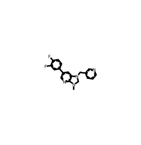 CN1CN(Cc2cccnc2)c2cc(-c3ccc(F)c(F)c3)cnc21